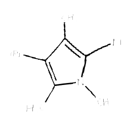 CCc1c(C)c(C(C)C)c(C)n1C